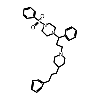 O=S(=O)(c1ccccc1)N1CCN(C(CCN2CCC(CCCc3ccccc3)CC2)c2ccccc2)CC1